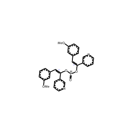 COc1cccc(/C=C(/O[PH](=O)O/C(=C/c2cccc(OC)c2)c2cccnc2)c2cccnc2)c1